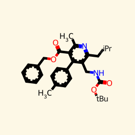 Cc1ccc(-c2c(CNC(=O)OC(C)(C)C)c(CC(C)C)nc(C)c2C(=O)OCc2ccccc2)cc1